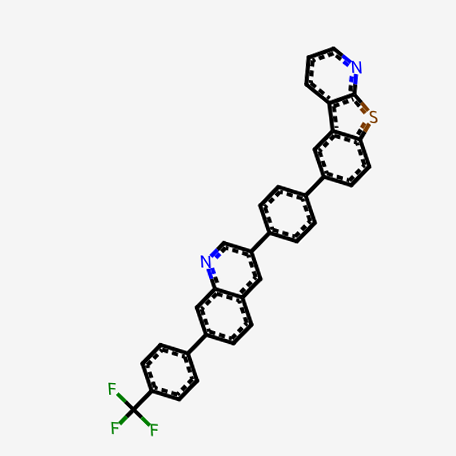 FC(F)(F)c1ccc(-c2ccc3cc(-c4ccc(-c5ccc6sc7ncccc7c6c5)cc4)cnc3c2)cc1